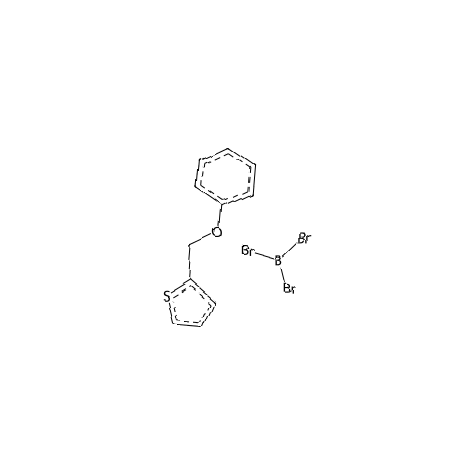 BrB(Br)Br.c1ccc(OCc2cccs2)cc1